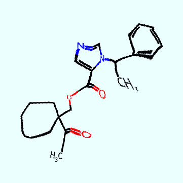 CC(=O)C1(COC(=O)c2cncn2C(C)c2ccccc2)CCCCC1